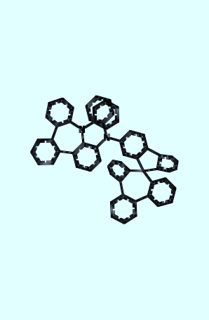 c1ccc(N(c2ccc3c(c2)C2(c4ccccc4-c4ccccc4-c4ccccc42)c2ccccc2-3)c2cccc3c2N(c2ccccc2)c2ccccc2-c2ccccc2-3)cc1